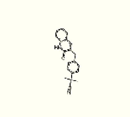 CC(C)(C#N)c1ccc(Cc2cc3ccccc3[nH]c2=O)cc1